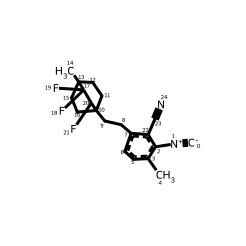 [C-]#[N+]c1c(C)ccc(CCC23CCC(C)(CC2)C(F)(F)C3F)c1C#N